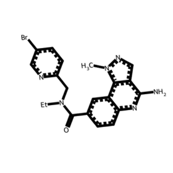 CCN(Cc1ccc(Br)cn1)C(=O)c1ccc2nc(N)c3cnn(C)c3c2c1